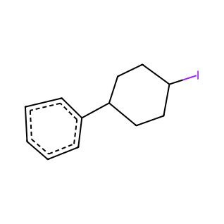 IC1CCC(c2ccccc2)CC1